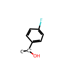 [CH2-][C+](O)c1ccc(F)cc1